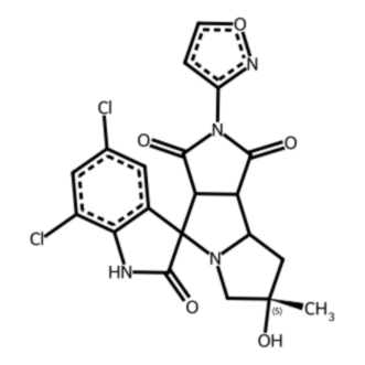 C[C@]1(O)CC2C3C(=O)N(c4ccon4)C(=O)C3C3(C(=O)Nc4c(Cl)cc(Cl)cc43)N2C1